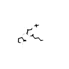 CCCCC(=O)N[C@@H](C[C@@H]1CCNC1=O)C(=O)COC(F)(F)F